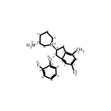 Cc1cc(Cl)cc2c1C[C@H](N1CCC[C@@H](N)C1)[C@H]2Oc1ccccc1F